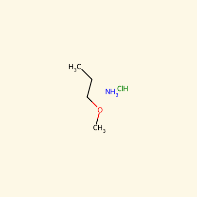 CCCOC.Cl.N